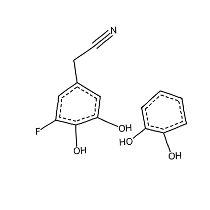 N#CCc1cc(O)c(O)c(F)c1.Oc1ccccc1O